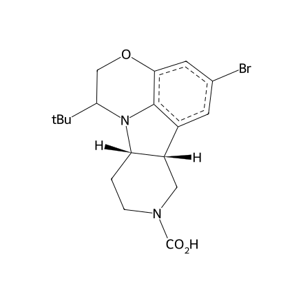 CC(C)(C)C1COc2cc(Br)cc3c2N1[C@H]1CCN(C(=O)O)C[C@@H]31